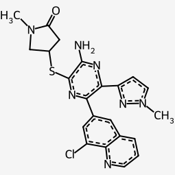 CN1CC(Sc2nc(-c3cc(Cl)c4ncccc4c3)c(-c3ccn(C)n3)nc2N)CC1=O